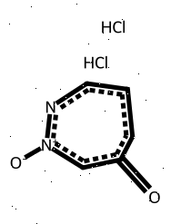 Cl.Cl.O=c1cccn[n+]([O-])c1